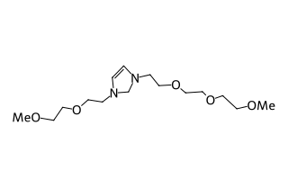 COCCOCCOCCN1C=CN(CCOCCOC)C1